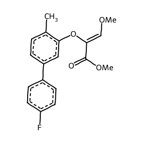 CO/C=C(\Oc1cc(-c2ccc(F)cc2)ccc1C)C(=O)OC